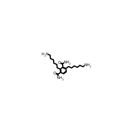 NCCCCCCc1ccc(C(N)=O)c(CCCCCCN)c1C(N)=O